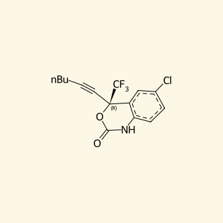 CCCCC#C[C@@]1(C(F)(F)F)OC(=O)Nc2ccc(Cl)cc21